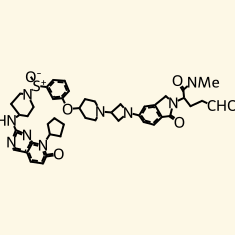 CNC(=O)C(CCC=O)N1Cc2cc(N3CC(N4CCC(Oc5cccc([S+]([O-])N6CCC(Nc7ncc8ccc(=O)n(C9CCCC9)c8n7)CC6)c5)CC4)C3)ccc2C1=O